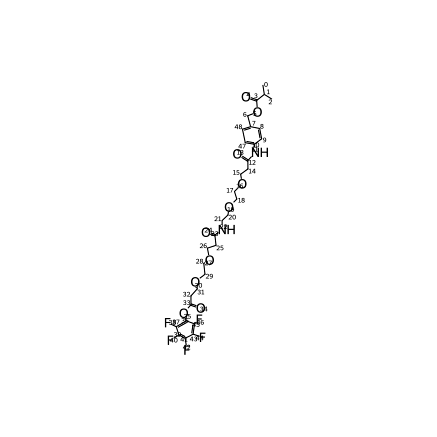 CC(C)C(=O)OCc1ccc(NC(=O)CCOCCOCCNC(=O)CCOCCOCCC(=O)Oc2c(F)c(F)c(F)c(F)c2F)cc1